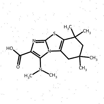 CN(C)c1c(C(=O)O)nc2sc3c(n12)CC(C)(C)CC3(C)C